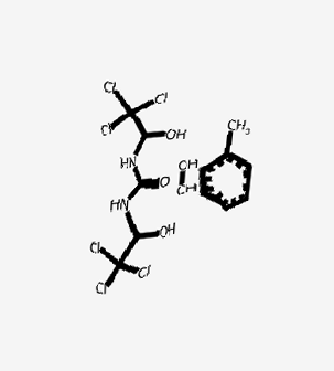 CO.Cc1ccccc1.O=C(NC(O)C(Cl)(Cl)Cl)NC(O)C(Cl)(Cl)Cl